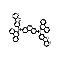 c1ccc2c(c1)cc(N(c1ccc3c(ccc4cc(N(c5ccc6c(c5)oc5ncccc56)c5cc6ccccc6c6ccccc56)ccc43)c1)c1ccc3c(c1)oc1ncccc13)c1ccccc12